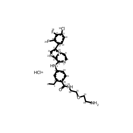 CCc1cc(Nc2nccn3c(-c4ccc(Cl)c(F)c4F)cnc23)ccc1C(=O)NCCOCCN.Cl